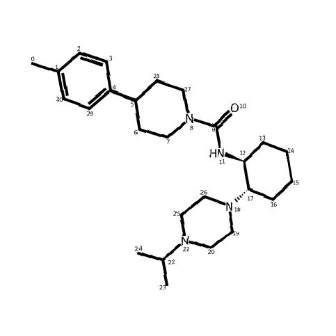 Cc1ccc(C2CCN(C(=O)N[C@H]3CCCC[C@@H]3N3CCN(C(C)C)CC3)CC2)cc1